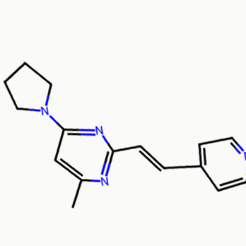 Cc1cc(N2CCCC2)nc(C=Cc2ccncc2)n1